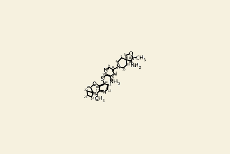 C[C@@H]1OCC2(CCN(c3cnc(Sc4ccnc5c4OCC4(CCC4)N5C)c(N)n3)CC2)[C@@H]1N